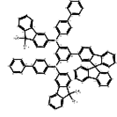 CC1(C)c2ccccc2-c2cc(N(c3ccc(-c4ccccc4)cc3)c3cc(-c4ccc5c(c4)C4(c6ccccc6-c6ccccc64)c4ccccc4-5)cc(N(c4ccc(-c5ccccc5)cc4)c4ccc5c(c4)-c4ccccc4C5(C)C)c3)ccc21